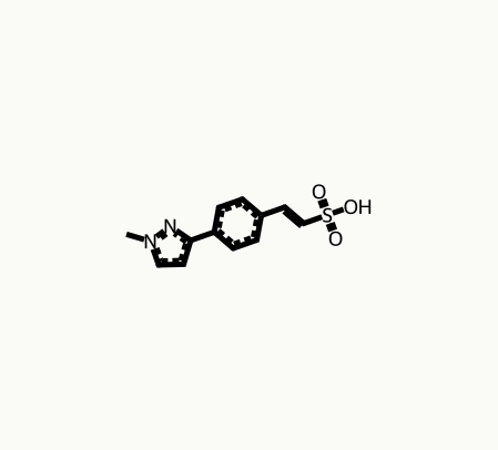 Cn1ccc(-c2ccc(C=CS(=O)(=O)O)cc2)n1